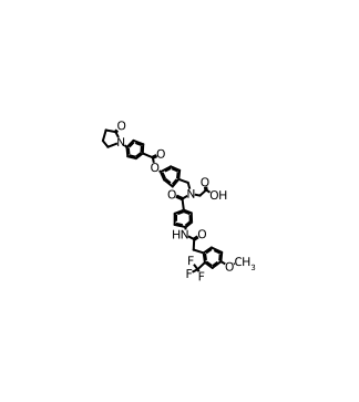 COc1ccc(CC(=O)Nc2ccc(C(=O)N(CC(=O)O)Cc3ccc(OC(=O)c4ccc(N5CCCC5=O)cc4)cc3)cc2)c(C(F)(F)F)c1